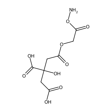 NOC(=O)COC(=O)CC(O)(CC(=O)O)C(=O)O